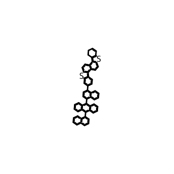 C1=Cc2sc3ccc4c(ccc5sc6cc(-c7ccc(-c8c9ccccc9c(-c9cccc%10ccccc9%10)c9ccccc89)c8ccccc78)ccc6c54)c3c2CC1